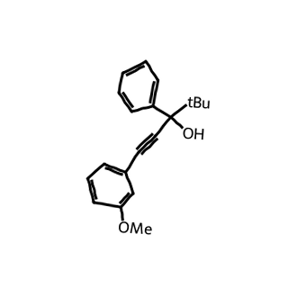 COc1cccc(C#CC(O)(c2ccccc2)C(C)(C)C)c1